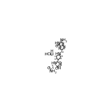 Cl.Cl.NC(=O)CC[C@H](NC(=O)c1ccc(NCc2cnc3nc(N)[nH]c(=O)c3n2)cc1)C(=O)O